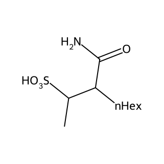 CCCCCCC(C(N)=O)C(C)S(=O)(=O)O